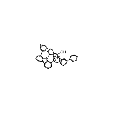 O=C1c2c(cccc2-n2c3c(-c4cncnc4)cccc3c3cccc(-c4cncnc4)c32)C(O)N1c1cccc(-c2ccccc2)c1